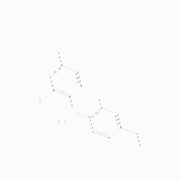 CCc1ccc([S+]([O-])c2ccc(CC)cc2F)c(F)c1